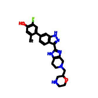 CCc1cc(O)c(F)cc1-c1ccc2c(-c3nc4c([nH]3)CCN(CC3CNCCO3)C4)n[nH]c2c1